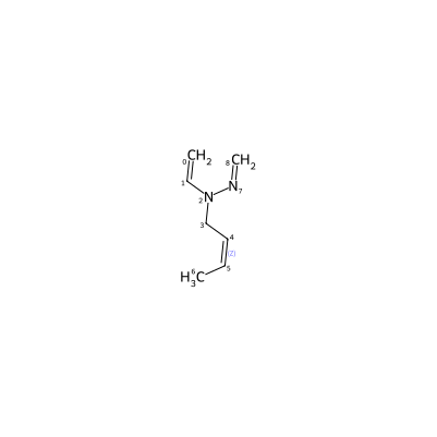 C=CN(C/C=C\C)N=C